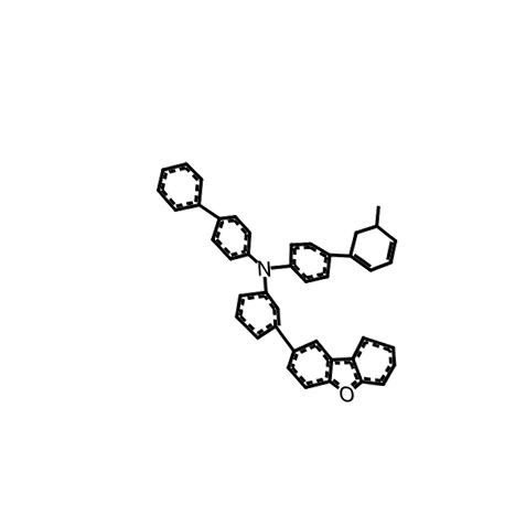 CC1C=CC=C(c2ccc(N(c3ccc(-c4ccccc4)cc3)c3cccc(-c4ccc5oc6ccccc6c5c4)c3)cc2)C1